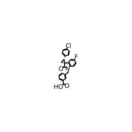 O=C(O)c1cccc(CN2C(=O)[C@@]3(C[C@@H]3c3ccc(Cl)cc3)c3cc(F)ccc32)c1